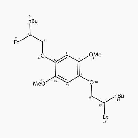 CCCCC(CC)COc1cc(OC)c(OCC(CC)CCCC)cc1OC